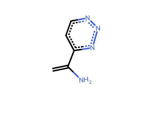 C=C(N)c1ccnnn1